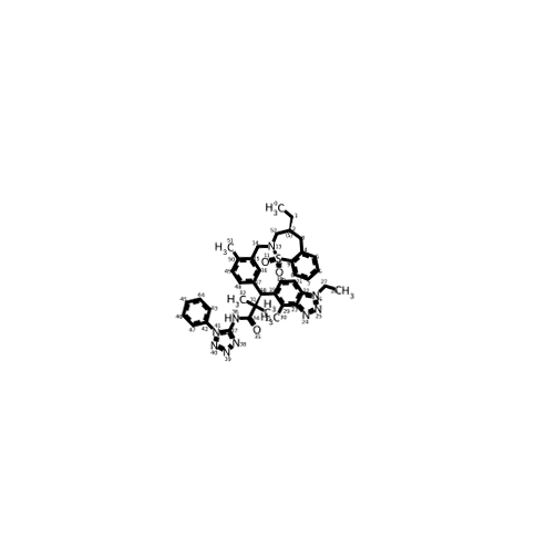 CC[C@H]1Cc2ccccc2S(=O)(=O)N(Cc2cc([C@@H](c3ccc4c(nnn4CC)c3C)C(C)(C)C(=O)Nc3nnnn3-c3ccccc3)ccc2C)C1